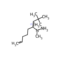 C=CCCC/C(=C/C(C)(C)C)N(C)N